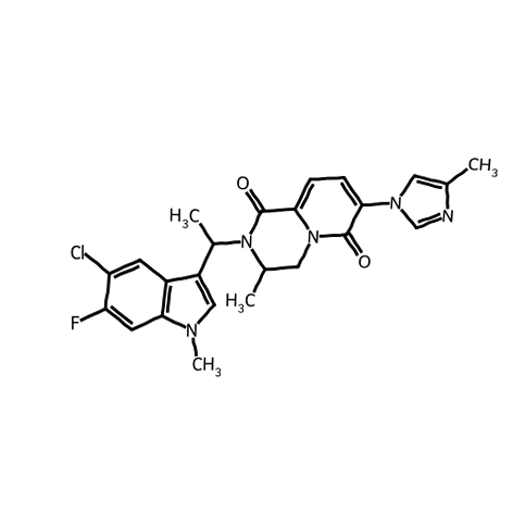 Cc1cn(-c2ccc3n(c2=O)CC(C)N(C(C)c2cn(C)c4cc(F)c(Cl)cc24)C3=O)cn1